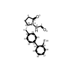 O=CBN1C(=O)CC[C@H]1Cc1ccc(-c2ccccc2F)cc1